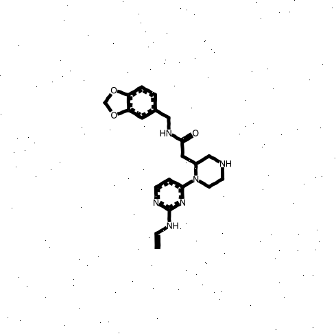 C=CNc1nccc(N2CCNCC2CC(=O)NCc2ccc3c(c2)OCO3)n1